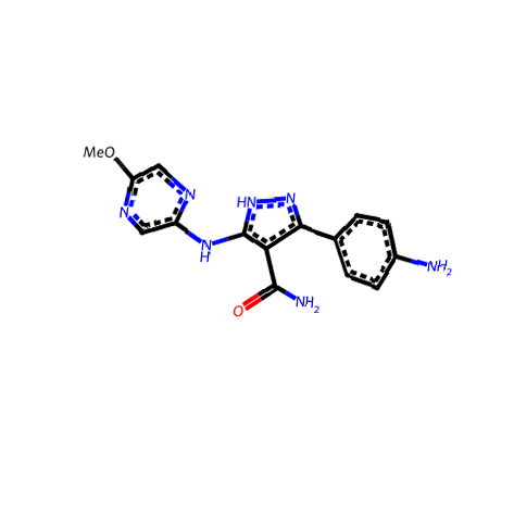 COc1cnc(Nc2[nH]nc(-c3ccc(N)cc3)c2C(N)=O)cn1